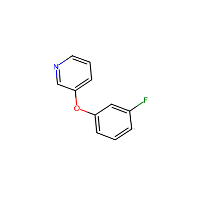 Fc1[c]ccc(Oc2cccnc2)c1